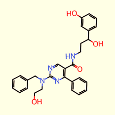 O=C(NCCC(O)c1cccc(O)c1)c1cnc(N(CCO)Cc2ccccc2)nc1-c1ccccc1